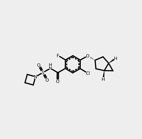 O=C(NS(=O)(=O)N1CCC1)c1cc(Cl)c(O[C@@H]2C[C@@H]3C[C@@H]3C2)cc1F